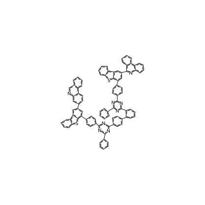 c1ccc(-c2nc(-c3ccc(-c4ccccc4-c4nc(-c5ccccc5)nc(-c5ccc(-c6cc(-c7nc8ccccc8c8ccccc78)cc7c6sc6ccccc67)cc5)n4)cc3)nc(-c3ccc(-c4cc(-c5ccc6c(c5)ncc5ccccc56)cc5c4sc4ccccc45)cc3)n2)cc1